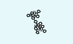 O=c1c2ccccc2n(-c2ccccc2)c2nc3ccc4c5ccccc5n(-c5ccc(-c6ccc(-n7c8ccccc8c(=O)n8c9c(ccc%10c%11ccccc%11n(-c%11nc(-c%12ccccc%12)c%12ccccc%12n%11)c%109)nc78)cc6)cc5)c4c3n12